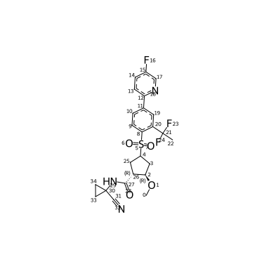 CO[C@@H]1CC(S(=O)(=O)c2ccc(-c3ccc(F)cn3)cc2C(C)(F)F)C[C@H]1C(=O)NC1(C#N)CC1